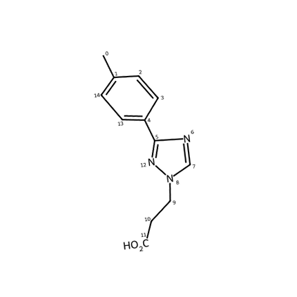 Cc1ccc(-c2ncn(CCC(=O)O)n2)cc1